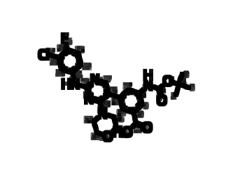 CC(C)(C)OC(=O)Nc1cc(C(=O)O)cc(-c2cnc(Nc3ccc(F)c(Cl)c3)nc2N2CCOCC2)c1